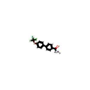 CC(=O)c1ccc(-c2ccc(SC(F)(F)F)cc2)cc1